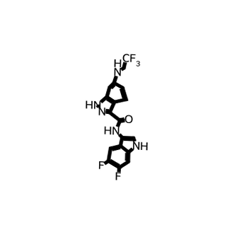 O=C(Nc1c[nH]c2cc(F)c(F)cc12)c1n[nH]c2cc(NCC(F)(F)F)ccc12